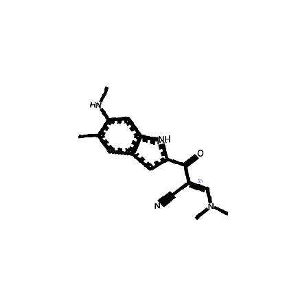 CNc1cc2[nH]c(C(=O)/C(C#N)=C/N(C)C)cc2cc1C